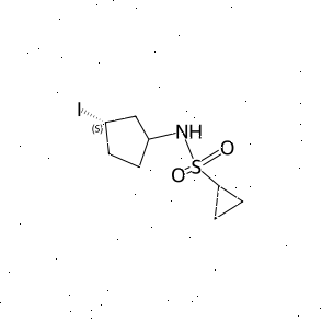 O=S(=O)(NC1CC[C@H](I)C1)C1CC1